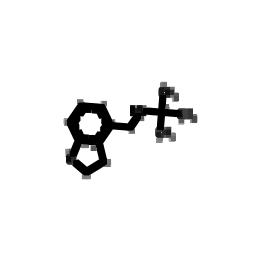 CC(C)(C)NCc1cccc2c1CCO2